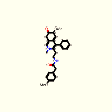 COc1ccc(CC(=O)NCCC2=C(c3ccccc3)C3=CC(OC)C(=O)CC3=CN2C)cc1